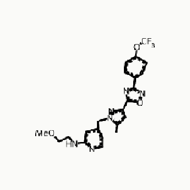 COCCNc1cc(Cn2nc(-c3nc(-c4ccc(OC(F)(F)F)cc4)no3)cc2C)ccn1